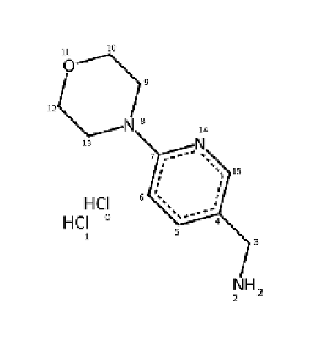 Cl.Cl.NCc1ccc(N2CCOCC2)nc1